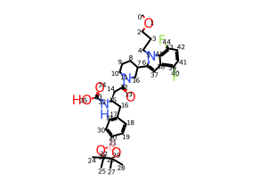 COCCCn1c(C2CCCN(C(=O)C[C@@H](Cc3ccc(B4OC(C)(C)C(C)(C)O4)cc3)NC(=O)O)C2)cc2c(F)ccc(F)c21